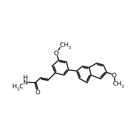 CNC(=O)/C=C/c1cc(OC)cc(-c2ccc3cc(OC)ccc3c2)c1